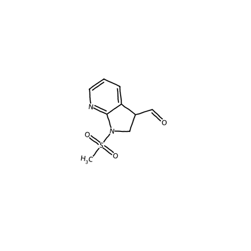 CS(=O)(=O)N1CC(C=O)c2cccnc21